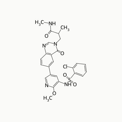 CNC(=O)C(C)Cn1cnc2ccc(-c3cnc(OC)c(NS(=O)(=O)c4ccccc4Cl)c3)cc2c1=O